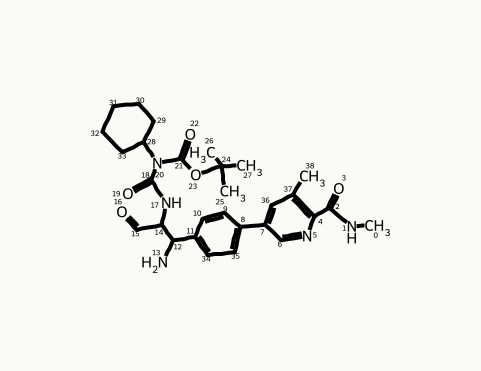 CNC(=O)c1ncc(-c2ccc(C(N)C(C=O)NC(=O)N(C(=O)OC(C)(C)C)C3CCCCC3)cc2)cc1C